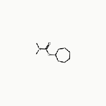 CN(C)C(=O)OC1C[CH]CCCC1